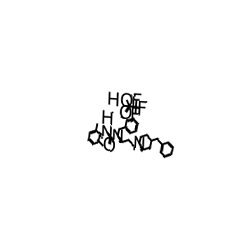 Cc1cccc(C)c1NC(=O)N(CCCN1CCC(Cc2ccccc2)CC1)Cc1ccccc1.O=C(O)C(F)(F)F